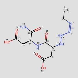 CC/N=N\NN[C@@H](CC(=O)O)C(=O)N[C@@H](CC(=O)O)C(N)=O